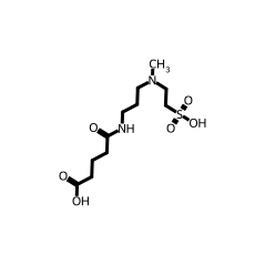 CN(CCCNC(=O)CCCC(=O)O)CCS(=O)(=O)O